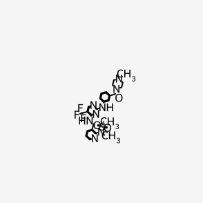 CN1CCN(C(=O)c2cccc(Nc3ncc(C(F)(F)F)c(NCc4cccnc4N(C)S(C)(=O)=O)n3)c2)CC1